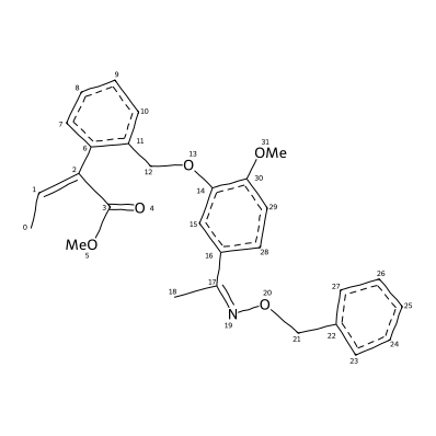 CC=C(C(=O)OC)c1ccccc1COc1cc(/C(C)=N\OCc2ccccc2)ccc1OC